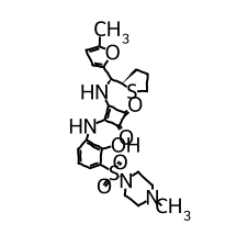 Cc1ccc([C@H](Nc2c(Nc3cccc(S(=O)(=O)N4CCN(C)CC4)c3O)c(=O)c2=O)[C@H]2CCCS2)o1